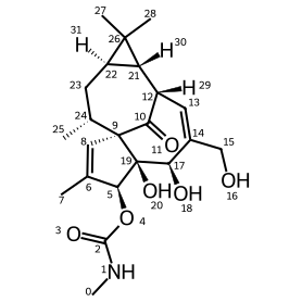 CNC(=O)O[C@H]1C(C)=C[C@]23C(=O)[C@@H](C=C(CO)[C@@H](O)[C@]12O)[C@@H]1[C@@H](C[C@H]3C)C1(C)C